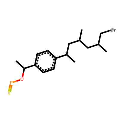 CC(C)CC(C)CC(C)CC(C)c1ccc(C(C)OP=S)cc1